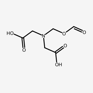 O=COCN(CC(=O)O)CC(=O)O